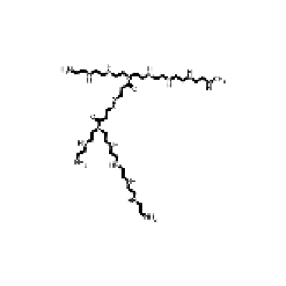 CNCCNCCNCCNCCN(CCNCCNCCN)C(=O)CCSSCCC(=O)N(CCNCCN)CCNCCNCCNCCNCCN